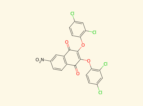 O=C1C(Oc2ccc(Cl)cc2Cl)=C(Oc2ccc(Cl)cc2Cl)C(=O)c2cc([N+](=O)[O-])ccc21